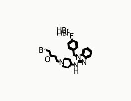 Br.Br.O=C(CBr)CCN1CCC(Nc2nc3ccccc3n2Cc2ccc(F)cc2)CC1